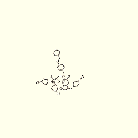 N#Cc1ccc(Cn2cncc2CC(=O)N[C@@H](Cc2ccc(OCc3ccccc3)cc2)CN(Cc2cccc(Cl)c2Cl)C(=S)Nc2ccc(Cl)cc2)cc1